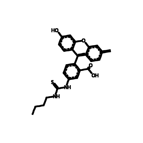 C=c1ccc2c(c1)Oc1cc(O)ccc1C=2c1ccc(NC(=S)NCCCC)cc1C(=O)O